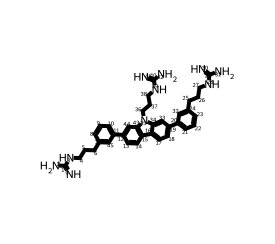 N=C(N)NCCCc1cccc(-c2ccc3c4ccc(-c5cccc(CCCNC(=N)N)c5)cc4n(CCCNC(=N)N)c3c2)c1